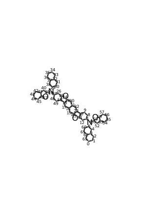 c1ccc2cc(N(c3ccc4c(c3)oc3cc5cc6c(cc5cc34)oc3cc(N(c4ccc5ccccc5c4)c4cc5ccccc5o4)ccc36)c3cc4ccccc4o3)ccc2c1